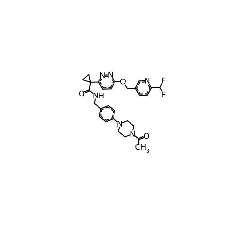 CC(=O)N1CCN(c2ccc(CNC(=O)C3(c4ccc(OCc5ccc(C(F)F)nc5)nn4)CC3)cc2)CC1